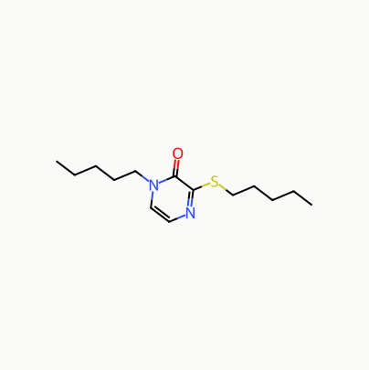 CCCCCSc1nccn(CCCCC)c1=O